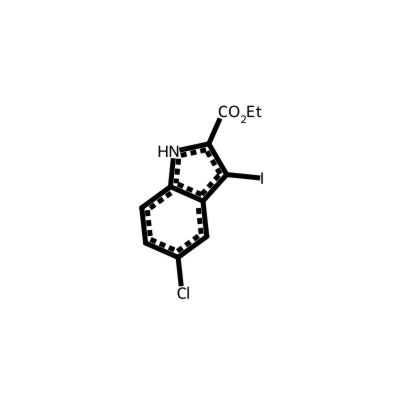 CCOC(=O)c1[nH]c2ccc(Cl)cc2c1I